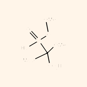 COOP(=O)(O)C(OC)(OC)C(=O)O